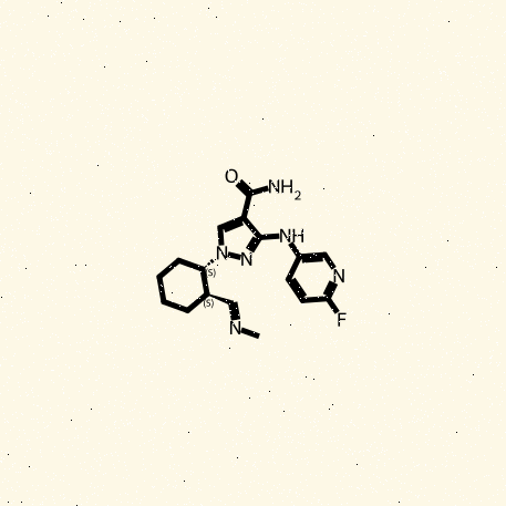 CN=C[C@H]1CCCC[C@@H]1n1cc(C(N)=O)c(Nc2ccc(F)nc2)n1